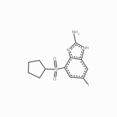 Nc1nc2c(S(=O)(=O)C3CCCC3)cc(I)cc2[nH]1